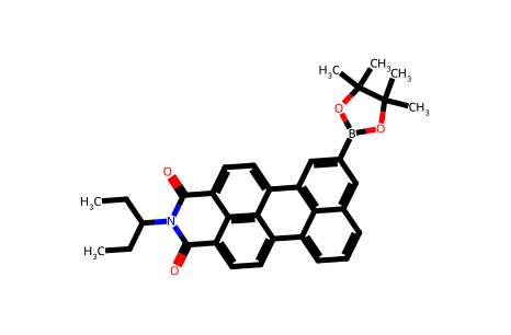 CCC(CC)N1C(=O)c2ccc3c4cccc5cc(B6OC(C)(C)C(C)(C)O6)cc(c6ccc(c2c36)C1=O)c54